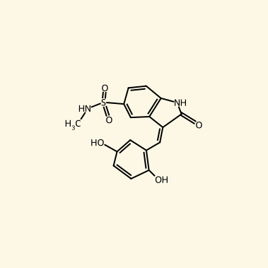 CNS(=O)(=O)c1ccc2c(c1)C(=Cc1cc(O)ccc1O)C(=O)N2